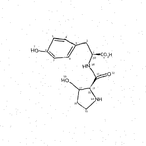 O=C(O)[C@H](Cc1ccc(O)cc1)NC(=O)[C@H]1NCCC1O